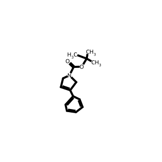 CC(C)(C)OC(=O)N1CC=C(c2ccccc2)C1